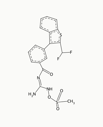 CS(=O)(=O)ONC(N)=NC(=O)c1cccc(-c2c(C(F)F)sc3ccccc23)c1